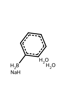 Bc1ccccc1.O.O.[NaH]